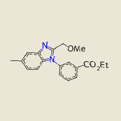 CCOC(=O)c1cccc(-n2c(COC)nc3cc(C)ccc32)c1